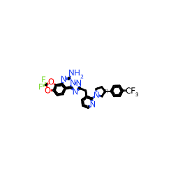 Nc1nc2c3c(ccc2c2nc(Cc4cccnc4N4CC[C@@H](c5ccc(C(F)(F)F)cc5)C4)nn12)OC(F)(F)O3